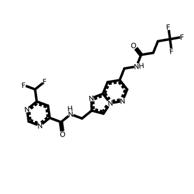 O=C(CCC(F)(F)F)NCc1cnn2cc(CNC(=O)c3cc(C(F)F)ncn3)nc2c1